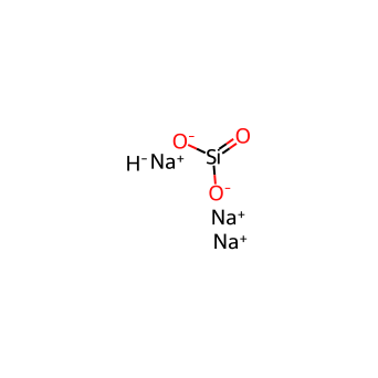 O=[Si]([O-])[O-].[H-].[Na+].[Na+].[Na+]